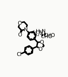 NC=O.NC=O.O=C1COCCN1c1ccc(C2OCOC2c2ccc(Cl)cc2)cc1